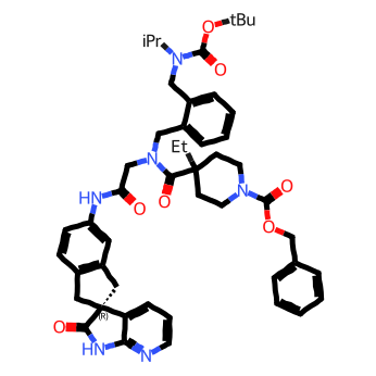 CCC1(C(=O)N(CC(=O)Nc2ccc3c(c2)C[C@@]2(C3)C(=O)Nc3ncccc32)Cc2ccccc2CN(C(=O)OC(C)(C)C)C(C)C)CCN(C(=O)OCc2ccccc2)CC1